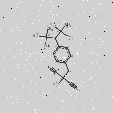 CC(C#N)(C#N)Cc1ccc(C(C(C)(C)C)C(C)(C)C)cc1